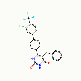 O=c1[nH]c(C2CC=C(c3ccc(C(F)(F)F)c(Cl)c3)CC2)c(Cc2ccccc2)c(=O)[nH]1